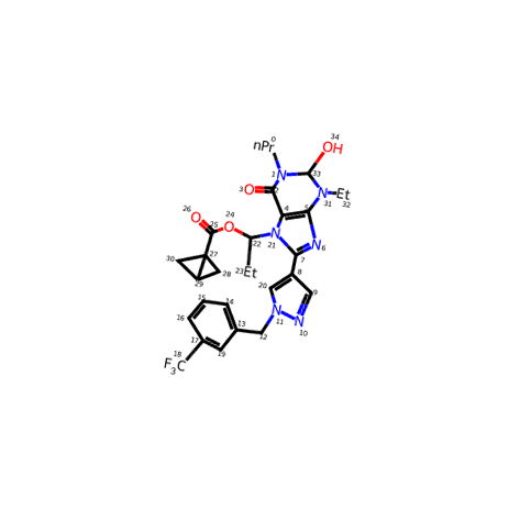 CCCN1C(=O)c2c(nc(-c3cnn(Cc4cccc(C(F)(F)F)c4)c3)n2C(CC)OC(=O)C23CC2C3)N(CC)C1O